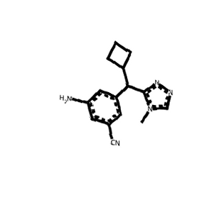 Cn1cnnc1C(c1cc(N)cc(C#N)c1)C1CCC1